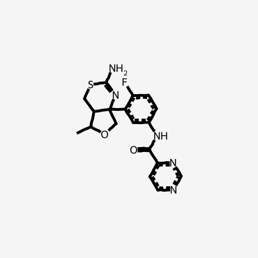 CC1OCC2(c3cc(NC(=O)c4ccncn4)ccc3F)N=C(N)SCC12